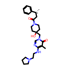 Cc1c(NCCN2CCCC2)ncn(CC2(O)CCN(C(=O)C[C@@H](C)c3ccccc3)CC2)c1=O